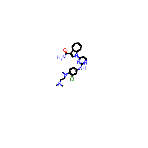 CN(C)CCN(C)c1ccc(Nc2nccc(N3C=C(C(N)=O)C4C=CC=CC=C43)n2)cc1Cl